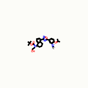 [C-]#[N+]c1cc(-c2nc(-c3cccc4c3CCC[C@H]4N(CCO)C(=O)OC(C)(C)C)no2)ccc1OC(C)C